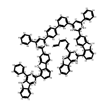 C=C/C=C\C=C\c1nc(-c2cccc3sc4cc(-c5nc(-c6ccccc6)cc(-c6cccc(-c7ccc(-c8cc(-c9ccccc9)nc(-c9ccc%10c(c9)sc9c(-c%11nc(-c%12ccccc%12)c%12sc%13ccccc%13c%12n%11)cccc9%10)n8)cc7)c6)n5)ccc4c23)nc2c1sc1ccccc12